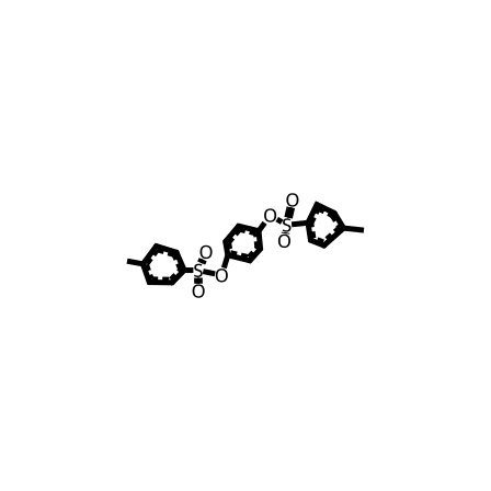 Cc1ccc(S(=O)(=O)Oc2ccc(OS(=O)(=O)c3ccc(C)cc3)cc2)cc1